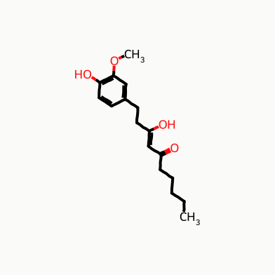 CCCCCC(=O)C=C(O)CCc1ccc(O)c(OC)c1